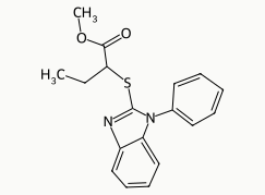 CCC(Sc1nc2ccccc2n1-c1ccccc1)C(=O)OC